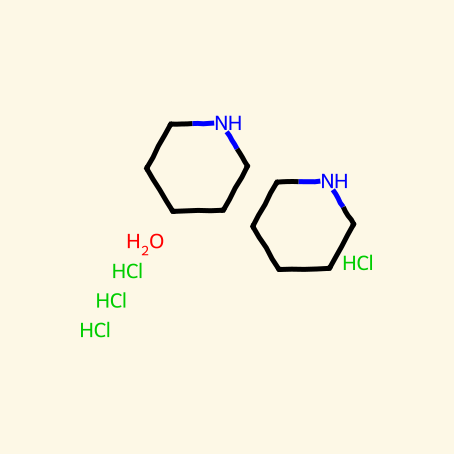 C1CCNCC1.C1CCNCC1.Cl.Cl.Cl.Cl.O